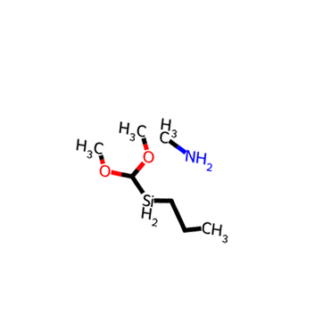 CCC[SiH2]C(OC)OC.CN